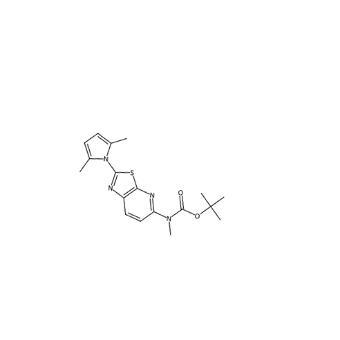 Cc1ccc(C)n1-c1nc2ccc(N(C)C(=O)OC(C)(C)C)nc2s1